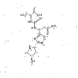 CC(O)C(NC(=O)NC(CC(N)=O)c1nc([C@@H]2C[C@@H](O)CN2)no1)C(=O)O